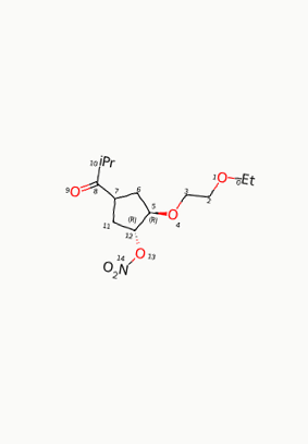 CCOCCO[C@@H]1CC(C(=O)C(C)C)C[C@H]1O[N+](=O)[O-]